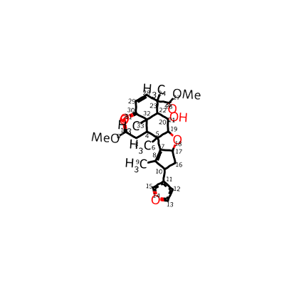 COC(=O)CC1C2(C)C3=C(C)C(c4ccoc4)CC3OC2C(O)C2C(C)(C(=O)OC)C=CC(=O)C21C